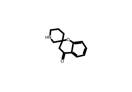 O=C1CC2(CCCNC2)Oc2ccccc21